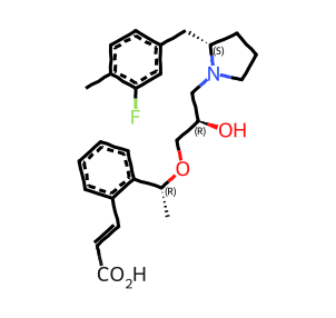 Cc1ccc(C[C@@H]2CCCN2C[C@@H](O)CO[C@H](C)c2ccccc2C=CC(=O)O)cc1F